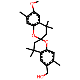 COc1cc2c(cc1C)OC1(CC(C)(C)c3cc(CO)c(C)cc3O1)CC2(C)C